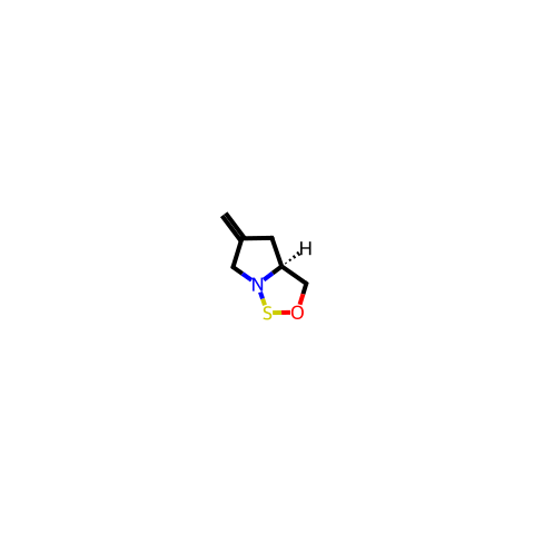 C=C1C[C@H]2COSN2C1